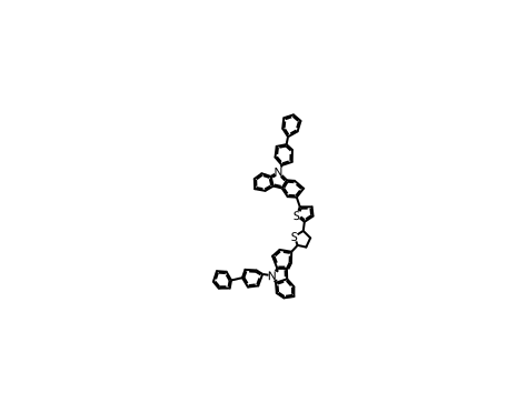 c1ccc(-c2ccc(-n3c4ccccc4c4cc(-c5ccc(C6CCC(c7ccc8c(c7)c7ccccc7n8-c7ccc(-c8ccccc8)cc7)S6)s5)ccc43)cc2)cc1